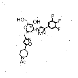 CC(=O)N1CCC(c2cc(C[C@H]3[CH][C@H](n4cc(-c5cc(F)c(F)c(F)c5)nn4)[C@@H](O)[C@@H](CO)O3)no2)CC1